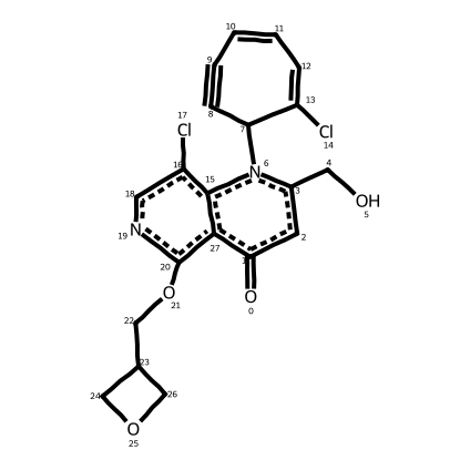 O=c1cc(CO)n(C2C#CC=CC=C2Cl)c2c(Cl)cnc(OCC3COC3)c12